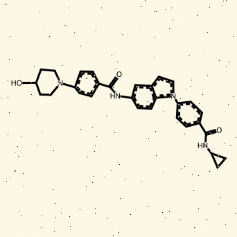 O=C(Nc1ccc2c(ccn2-c2ccc(C(=O)NC3CC3)cc2)c1)c1ccc(N2CCC(O)CC2)cc1